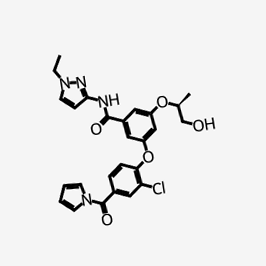 CCn1ccc(NC(=O)c2cc(Oc3ccc(C(=O)n4cccc4)cc3Cl)cc(O[C@@H](C)CO)c2)n1